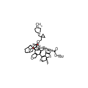 CN1CCN(CC2(COc3nc(N4C5CCC4CN(C(=O)OC(C)(C)C)C5)c4c5c(c(-c6ncc(F)c7sc(NC(=O)OC(C)(C)C)c(C#N)c67)c(F)c4n3)COC5)CC2)CC1